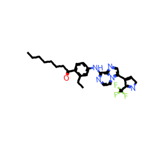 CCCCCCCC(=O)c1ccc(Nc2nccn3c(C4=CCN=C4C(F)(F)F)cnc23)cc1CC